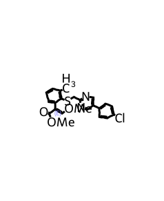 CO/C=C(/C(=O)OC)c1cccc(C)c1SCc1ncc(-c2ccc(Cl)cc2)cn1